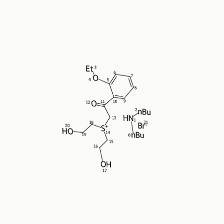 CCCCNCCCC.CCOc1ccccc1C(=O)C[S+](CCO)CCO.[Br-]